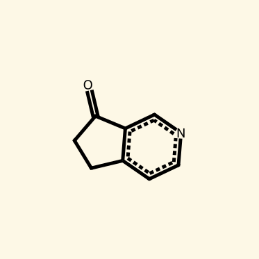 O=C1CCc2ccncc21